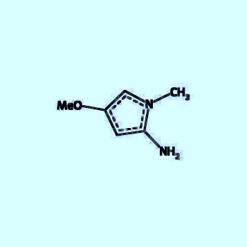 COc1cc(N)n(C)c1